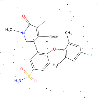 COc1c(-c2cc(S(N)(=O)=O)ccc2Oc2c(C)cc(F)cc2C)cn(C)c(=O)c1I